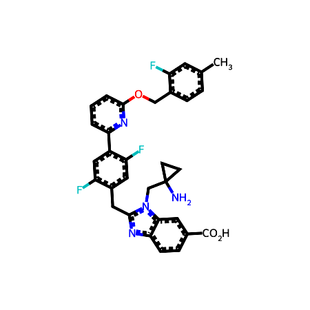 Cc1ccc(COc2cccc(-c3cc(F)c(Cc4nc5ccc(C(=O)O)cc5n4CC4(N)CC4)cc3F)n2)c(F)c1